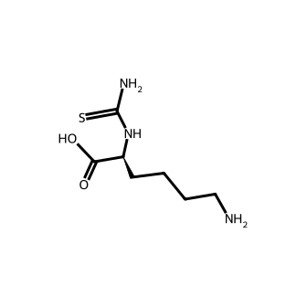 NCCCC[C@H](NC(N)=S)C(=O)O